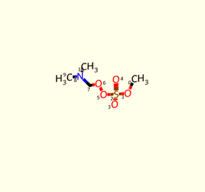 COS(=O)(=O)OOCN(C)C